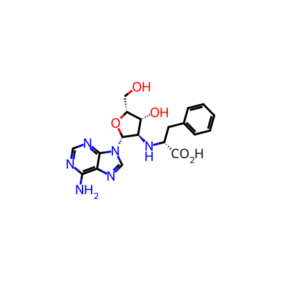 Nc1ncnc2c1ncn2[C@@H]1O[C@H](CO)[C@H](O)[C@H]1N[C@H](Cc1ccccc1)C(=O)O